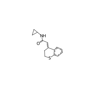 O=C(C=C1CCSc2ccccc21)NC1CC1